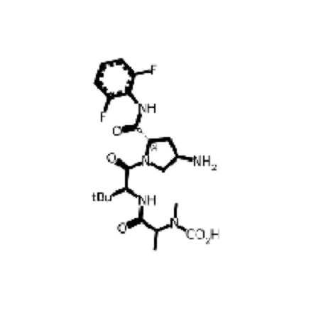 CC(C(=O)NC(C(=O)N1CC(N)C[C@H]1C(=O)Nc1c(F)cccc1F)C(C)(C)C)N(C)C(=O)O